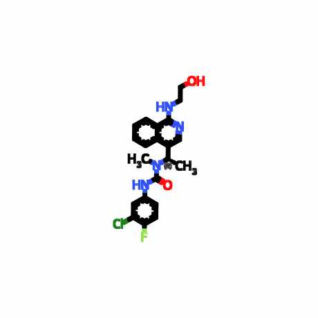 C[C@H](c1cnc(NCCO)c2ccccc12)N(C)C(=O)Nc1ccc(F)c(Cl)c1